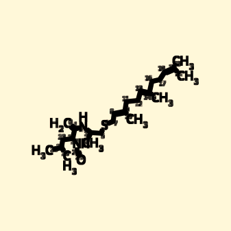 C=C(NC(C)CSC/C=C(\C)CC/C=C(\C)CCC=C(C)C)C(CC(C)C)NC=O